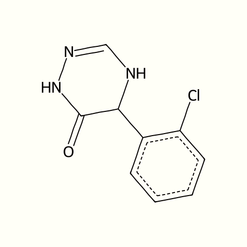 O=C1NN=CNC1c1ccccc1Cl